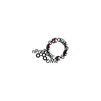 CCCC1(CCC)c2ccccc2-c2c1c1c(c3cc(OC)ccc23)OC2(C=C1)CCCCc1ccc(cc1)Oc1ccc(cc1)OCCOCCOc1ccc(cc1)Oc1ccc2cc1